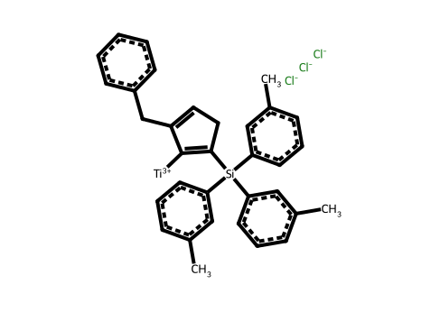 Cc1cccc([Si](C2=[C]([Ti+3])C(Cc3ccccc3)=CC2)(c2cccc(C)c2)c2cccc(C)c2)c1.[Cl-].[Cl-].[Cl-]